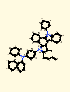 C=C/C=C\c1c(C)c2c3c4ccccc4n(-c4ccccc4)c3c3ccccc3c2n1-c1ccc(N(c2ccccc2)c2cccc3ccccc23)cc1